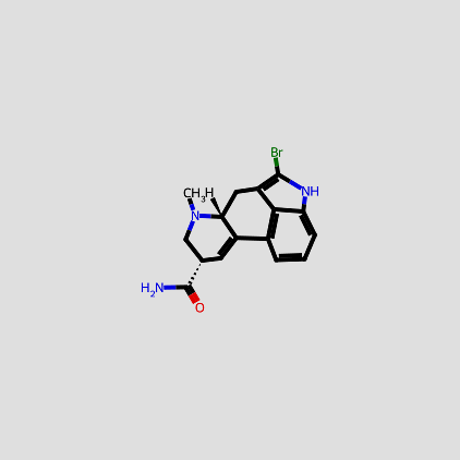 CN1C[C@@H](C(N)=O)C=C2c3cccc4[nH]c(Br)c(c34)C[C@H]21